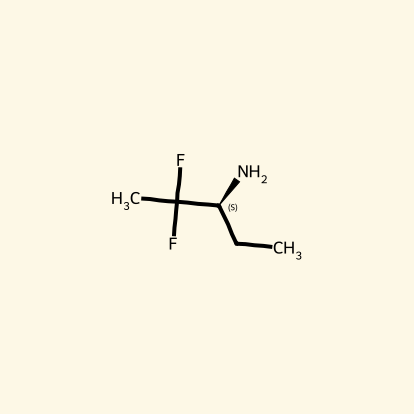 CC[C@H](N)C(C)(F)F